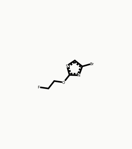 FCCOc1nc(Br)cs1